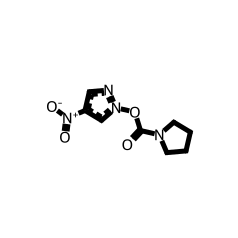 O=C(On1cc([N+](=O)[O-])cn1)N1CCCC1